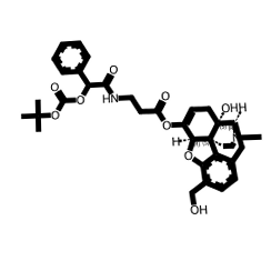 CN1CC[C@]23c4c5ccc(CO)c4O[C@H]2C(OC(=O)CCNC(=O)C(OC(=O)OC(C)(C)C)c2ccccc2)=CC[C@@]3(O)[C@H]1C5